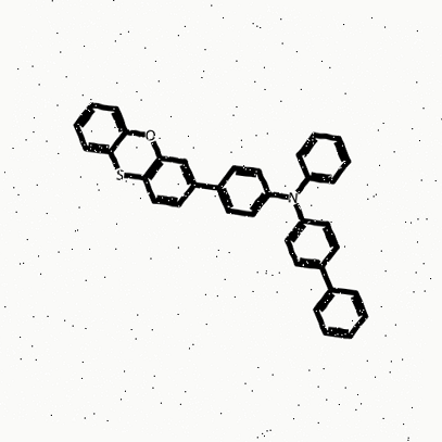 c1ccc(-c2ccc(N(c3ccccc3)c3ccc(-c4ccc5c(c4)Oc4ccccc4S5)cc3)cc2)cc1